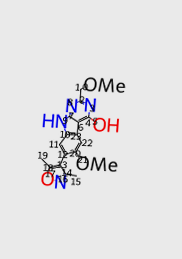 COCc1nc(O)c2c(n1)[nH]c1cc(-c3c(C)noc3C)c(OC)cc12